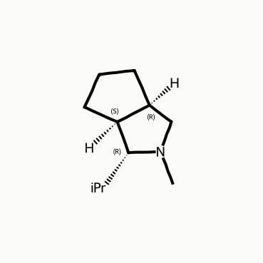 CC(C)[C@@H]1[C@H]2CCC[C@H]2CN1C